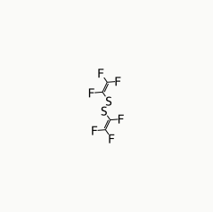 FC(F)=C(F)SSC(F)=C(F)F